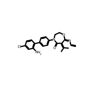 C=C/N=C1/OCCN(c2ccc(-c3ccc(Cl)cc3N)cc2)C(=O)C1=C(C)C